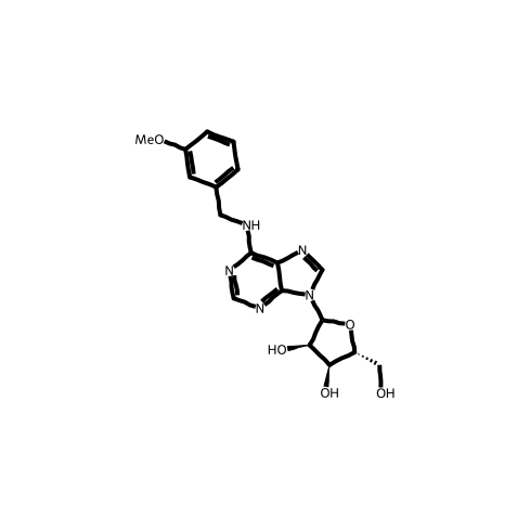 COc1cccc(CNc2ncnc3c2ncn3C2O[C@H](CO)[C@@H](O)[C@H]2O)c1